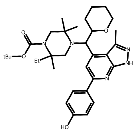 CCC1(C)CN(C(c2cc(-c3ccc(O)cc3)nc3[nH]nc(C)c23)C2CCCCO2)C(C)(C)CN1C(=O)OC(C)(C)C